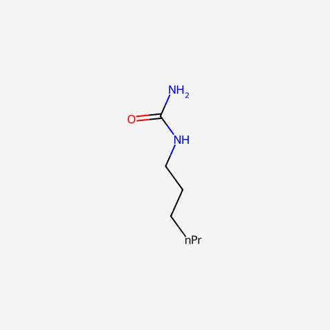 CCCCCCNC(N)=O